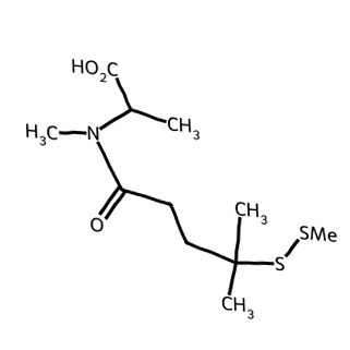 CSSC(C)(C)CCC(=O)N(C)C(C)C(=O)O